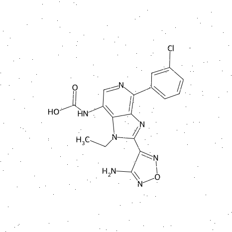 CCn1c(-c2nonc2N)nc2c(-c3cccc(Cl)c3)ncc(NC(=O)O)c21